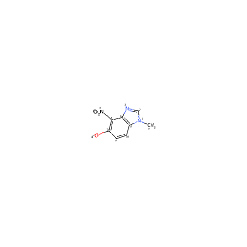 Cn1cnc2c([N+](=O)[O-])c([O])ccc21